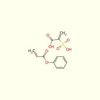 C=C(C(=O)O)S(=O)(=O)O.C=CC(=O)Oc1ccccc1